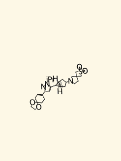 CC(C)n1nc(C2=CCC3(CC2)OCCO3)cc1C1[C@H]2CC(N3CCC4(C3)CS(=O)(=O)C4)C[C@@H]12